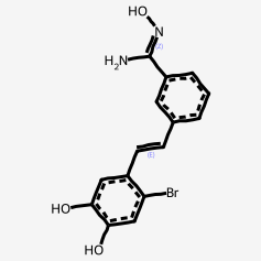 N/C(=N\O)c1cccc(/C=C/c2cc(O)c(O)cc2Br)c1